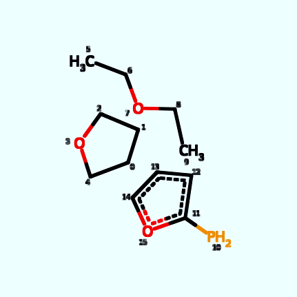 C1CCOC1.CCOCC.Pc1ccco1